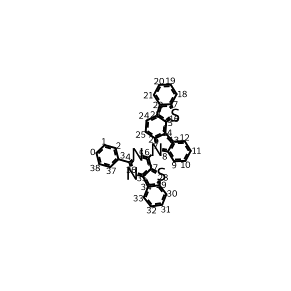 c1ccc(-c2nc(-n3c4ccccc4c4c5sc6ccccc6c5ccc43)c3sc4ccccc4c3n2)cc1